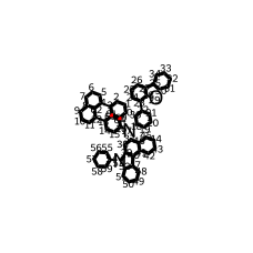 c1ccc(-c2cccc3cccc(-c4ccc(N(c5cccc(-c6cccc7c6oc6ccccc67)c5)c5cc6c(c7ccccc57)c5ccccc5n6-c5ccccc5)cc4)c23)cc1